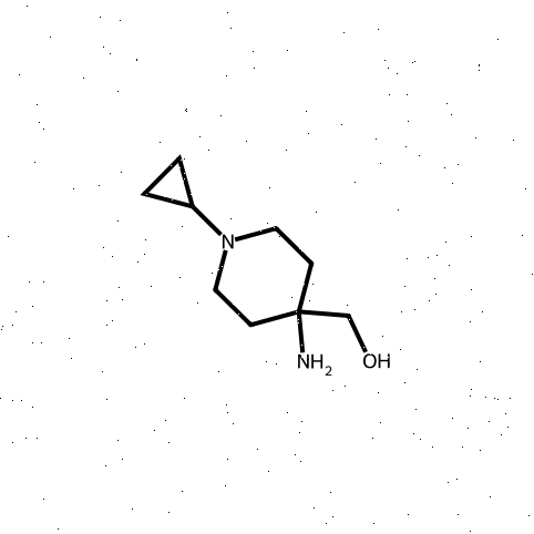 NC1(CO)CCN(C2CC2)CC1